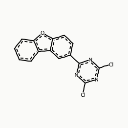 Clc1nc(Cl)nc(-c2ccc3oc4ccccc4c3c2)n1